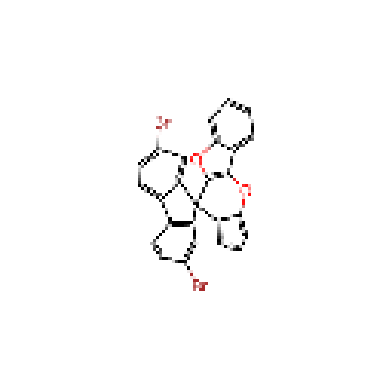 Brc1ccc2c(c1)C1(c3ccccc3Oc3c1oc1ccccc31)c1cc(Br)ccc1-2